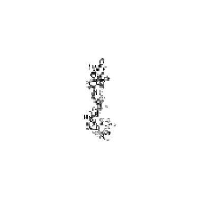 C[C@@H](c1ccc(Nc2ncc3cc(C(=O)N(C)C)n(C4CCCC4)c3n2)nc1)N1CC2(CCN(c3cccc4c3n(C)c(=O)n4[C@H]3CCC(=O)NC3=O)CC2)C1